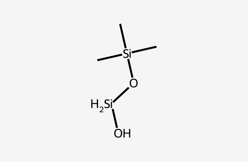 C[Si](C)(C)O[SiH2]O